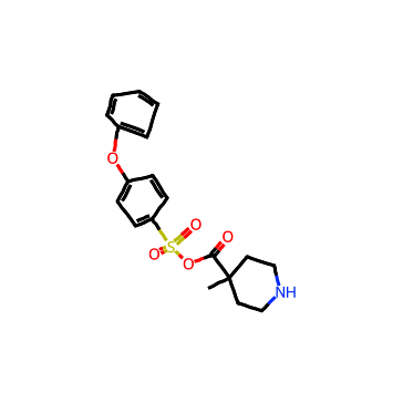 CC1(C(=O)OS(=O)(=O)c2ccc(Oc3ccccc3)cc2)CCNCC1